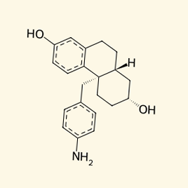 Nc1ccc(C[C@@]23CC[C@@H](O)C[C@H]2CCc2cc(O)ccc23)cc1